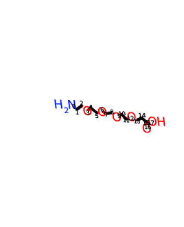 NCCOCCOCCOCCOCCC(=O)O